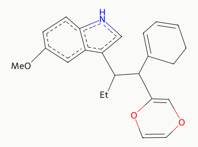 [CH2]CC(c1c[nH]c2ccc(OC)cc12)C(C1=CC=CCC1)C1=COC=CO1